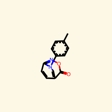 Cc1ccc(N2C=C3C=CC2=NOC3=O)cc1